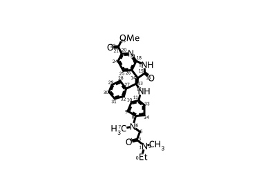 CCN(C)C(=O)CN(C)c1ccc(N/C(=C2\C(=O)Nc3nc(C(=O)OC)ccc32)c2ccccc2)cc1